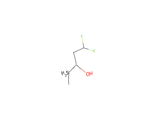 C[SiH2]C(O)CC(F)F